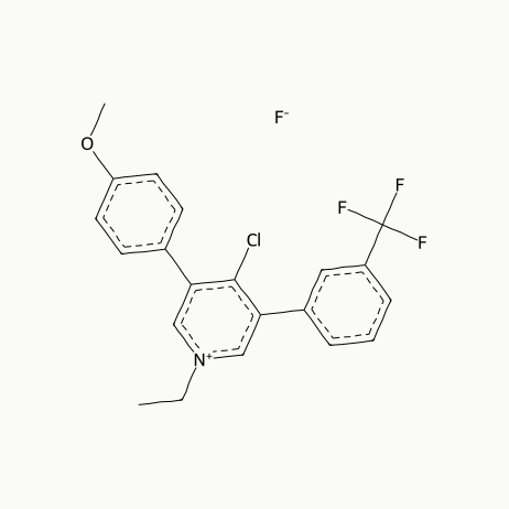 CC[n+]1cc(-c2ccc(OC)cc2)c(Cl)c(-c2cccc(C(F)(F)F)c2)c1.[F-]